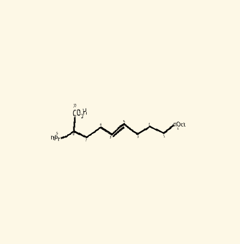 CCCCCCCCCCCC=CCCC(CCC)C(=O)O